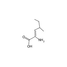 CCC(C)C=C(N)C(=O)O